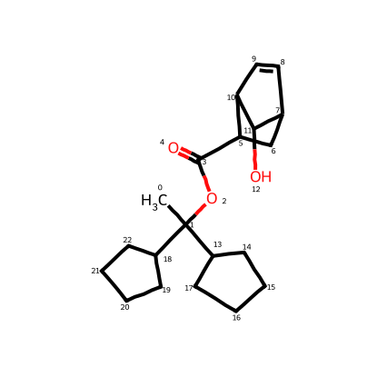 CC(OC(=O)C1CC2C=CC1C2O)(C1CCCC1)C1CCCC1